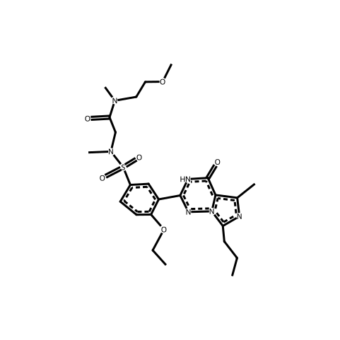 CCCc1nc(C)c2c(=O)[nH]c(-c3cc(S(=O)(=O)N(C)CC(=O)N(C)CCOC)ccc3OCC)nn12